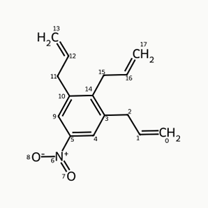 C=CCc1cc([N+](=O)[O-])cc(CC=C)c1CC=C